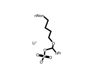 CCCCCCCCCCCCCOC(CCC)OS(=O)(=O)[O-].[Li+]